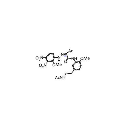 COc1ccc(CCNC(C)=O)cc1NC(=O)/C(=N\Nc1ccc([N+](=O)[O-])c([N+](=O)[O-])c1OC)C(C)=O